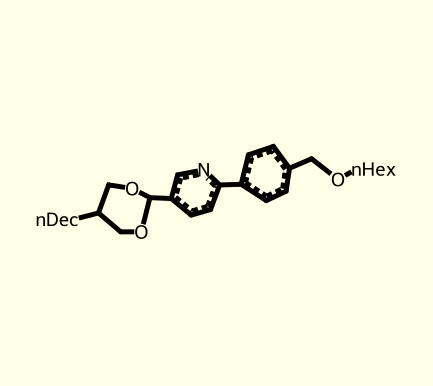 CCCCCCCCCCC1COC(c2ccc(-c3ccc(COCCCCCC)cc3)nc2)OC1